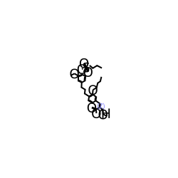 CCCCOc1cc(/C=C(/COC)C(=O)O)ccc1CCCc1ccc(OS(=O)(=O)CCCC)c(OC)c1